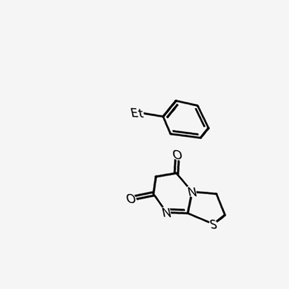 CCc1ccccc1.O=C1CC(=O)N2CCSC2=N1